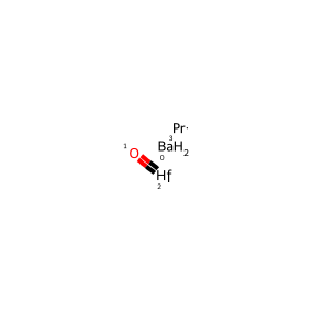 [BaH2].[O]=[Hf].[Pr]